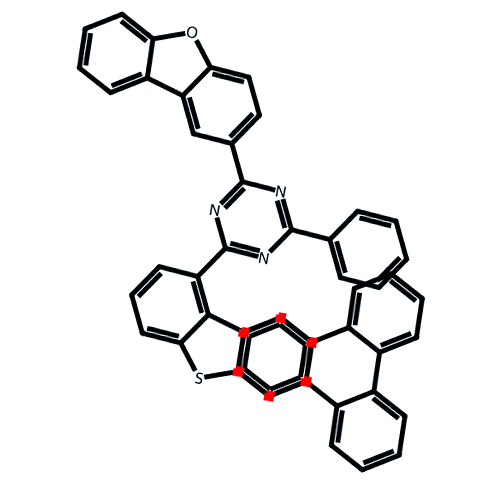 c1ccc(-c2nc(-c3ccc4oc5ccccc5c4c3)nc(-c3cccc4sc5ccc(-c6ccccc6-c6ccccc6-c6ccccc6)cc5c34)n2)cc1